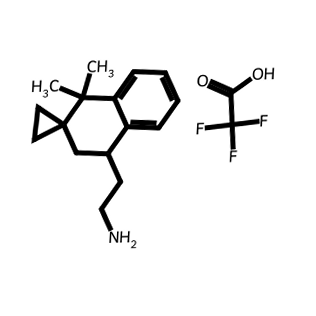 CC1(C)c2ccccc2C(CCN)CC12CC2.O=C(O)C(F)(F)F